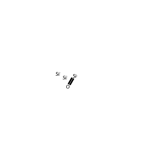 O=[Si].[Si].[Si]